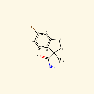 CC1(C(N)=O)CCc2cc(Br)ccc21